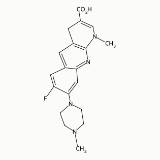 CN1CCN(c2cc3nc4c(cc3cc2F)CC(C(=O)O)=CN4C)CC1